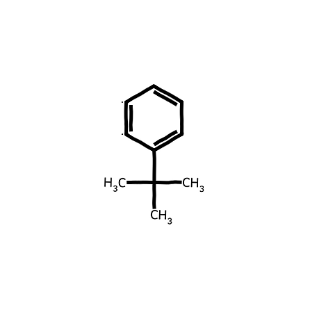 CC(C)(C)c1[c][c]ccc1